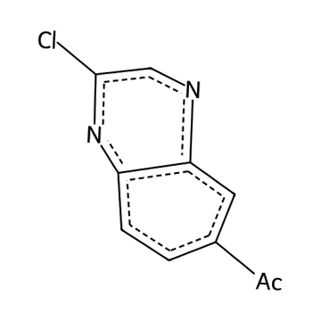 CC(=O)c1ccc2nc(Cl)cnc2c1